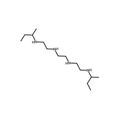 CCC(C)NCCNCCNCCNC(C)CC